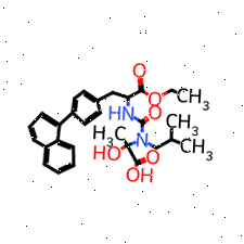 CCOC(=O)C(Cc1ccc(-c2cccc3ccccc23)cc1)NC(=O)N(CC(C)C)C(C)(O)C(=O)O